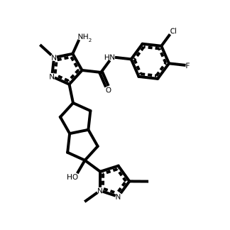 Cc1cc(C2(O)CC3CC(c4nn(C)c(N)c4C(=O)Nc4ccc(F)c(Cl)c4)CC3C2)n(C)n1